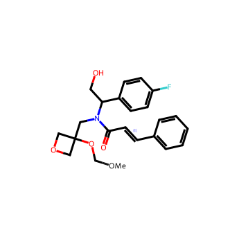 COCOC1(CN(C(=O)/C=C/c2ccccc2)C(CO)c2ccc(F)cc2)COC1